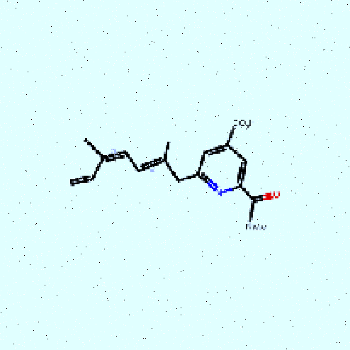 C=C/C(C)=C\C=C(/C)Cc1cc(C(=O)O)cc(C(=O)NC)n1